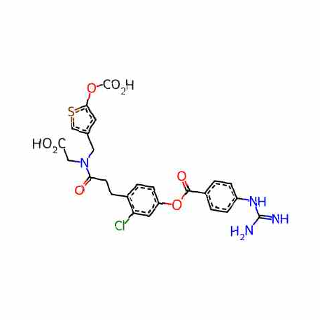 N=C(N)Nc1ccc(C(=O)Oc2ccc(CCC(=O)N(CC(=O)O)Cc3csc(OC(=O)O)c3)c(Cl)c2)cc1